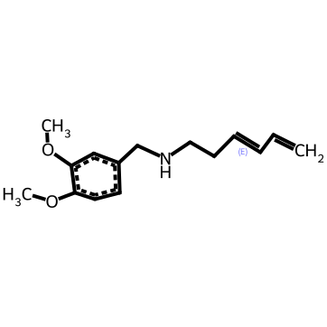 C=C/C=C/CCNCc1ccc(OC)c(OC)c1